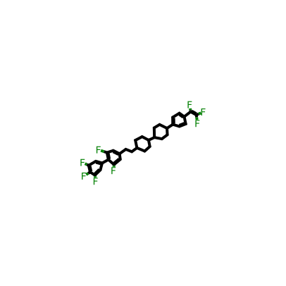 FC(F)=C(F)c1ccc(C2CCC(C3CCC(CCc4cc(F)c(-c5cc(F)c(F)c(F)c5)c(F)c4)CC3)CC2)cc1